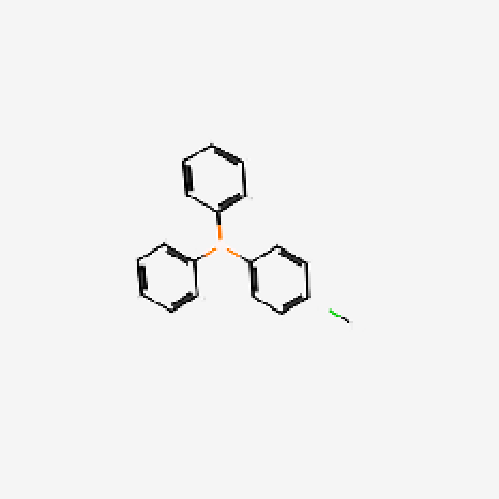 [Cl][Pd].c1ccc(P(c2ccccc2)c2ccccc2)cc1